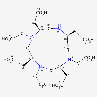 O=C(O)C[C@H]1CN(CC(=O)O)[C@@H](CC(=O)O)CN(CC(=O)O)[C@@H](CC(=O)O)CN(CC(=O)O)[C@@H](CC(=O)O)CN1